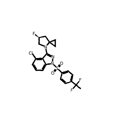 CC(F)(F)c1ccc(S(=O)(=O)n2nc(N3C[C@@H](F)CC34CC4)c3c(Cl)cccc32)cc1